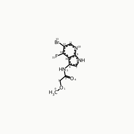 COCC(=O)Nc1c[nH]c2ncc(Br)c(F)c12